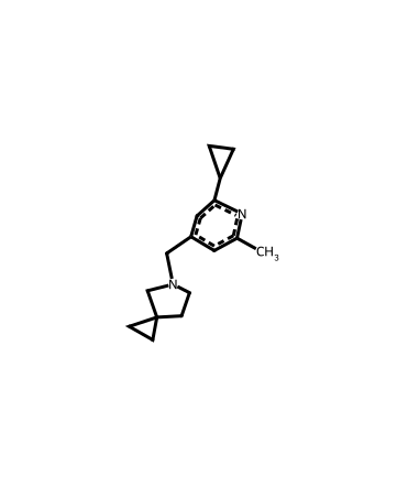 Cc1cc(CN2CCC3(CC3)C2)cc(C2CC2)n1